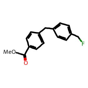 COC(=O)c1ccc(Cc2ccc(CF)cc2)cc1